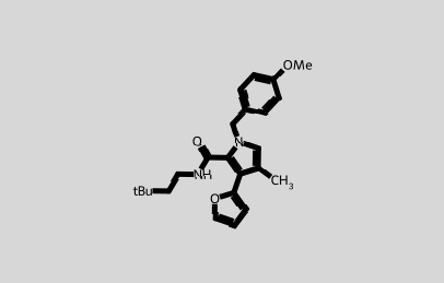 COc1ccc(Cn2cc(C)c(-c3ccco3)c2C(=O)NCCC(C)(C)C)cc1